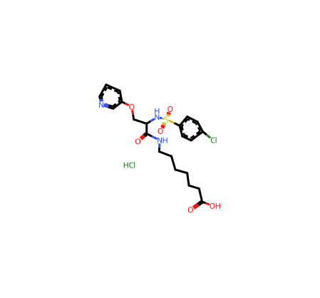 Cl.O=C(O)CCCCCCNC(=O)C(COc1cccnc1)NS(=O)(=O)c1ccc(Cl)cc1